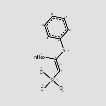 CCCCCC/C(=C\[Si](Cl)(Cl)Cl)Sc1ccccc1